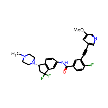 COc1cncc(C#Cc2cc(C(=O)Nc3ccc4c(c3)C(F)(F)C[C@@H]4N3CCN(C)CC3)ccc2F)c1